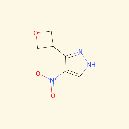 O=[N+]([O-])c1c[nH]nc1C1COC1